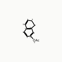 CC(=O)Oc1ccc2c(c1)CC[C]=C2